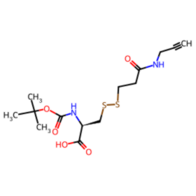 C#CCNC(=O)CCSSC[C@H](NC(=O)OC(C)(C)C)C(=O)O